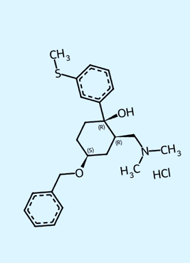 CSc1cccc([C@@]2(O)CC[C@H](OCc3ccccc3)C[C@@H]2CN(C)C)c1.Cl